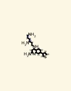 N/C=C\C=C(/N)CCNc1cc(N)nc2cc(-c3ccsc3)ccc12